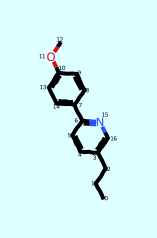 CCCc1ccc(-c2ccc(OC)cc2)nc1